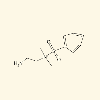 C[N+](C)(CCN)S(=O)(=O)c1cc[c]cc1